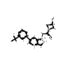 CC(F)(F)c1cccc(-c2cnc3cnn(CC(=O)N4CC(F)C4)c3c2)c1